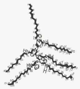 CCCCCCCCCCCCCC(=O)CN(CCN(CCN(CCN(CC(=O)NCCCCCCCCCCCC)CC(=O)NCCCCCCCCCCCC)CC(=O)NCCCCCCCCCCCC)CC(=O)NCCCCCCCCCCCC)CC(=O)NCCCCCCCCCCCC